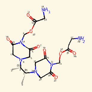 C[C@H]([C@H](C)N1CC(=O)N(COC(=O)CN)C(=O)C1)N1CC(=O)N(COC(=O)CN)C(=O)C1